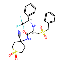 N#CC1(NC(=O)[C@@H](CS(=O)(=O)Cc2ccccc2)N[C@@H](c2ccccc2)C(F)(F)F)CCS(=O)(=O)CC1